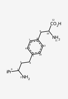 CC(C)C(N)CCc1ccc(CC(N)C(=O)O)cc1